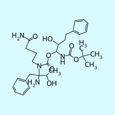 CC(O)C(N)(Cc1ccccc1)N(CCCC(N)=O)C(=O)OC(NC(=O)OC(C)(C)C)C(O)CCc1ccccc1